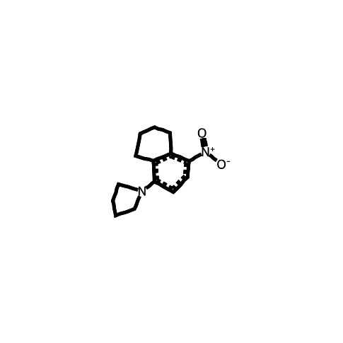 O=[N+]([O-])c1ccc(N2CCCC2)c2c1CCCC2